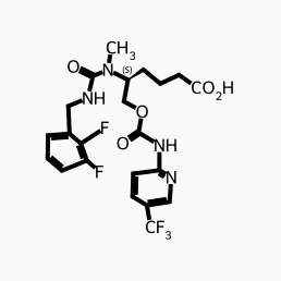 CN(C(=O)NCc1cccc(F)c1F)[C@@H](CCCC(=O)O)COC(=O)Nc1ccc(C(F)(F)F)cn1